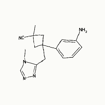 Cn1cnnc1CC1(c2cccc(N)c2)CC(C)(C#N)C1